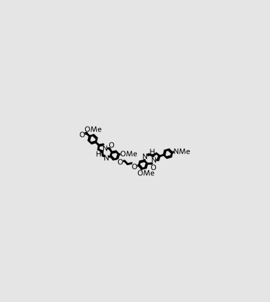 CNc1ccc(C2=CN3C(=O)c4cc(OC)c(OCCCOc5cc6c(cc5OC)C(=O)N5C=C(c7ccc(C(=O)OC)cc7)C[C@H]5C=N6)cc4N=C[C@@H]3C2)cc1